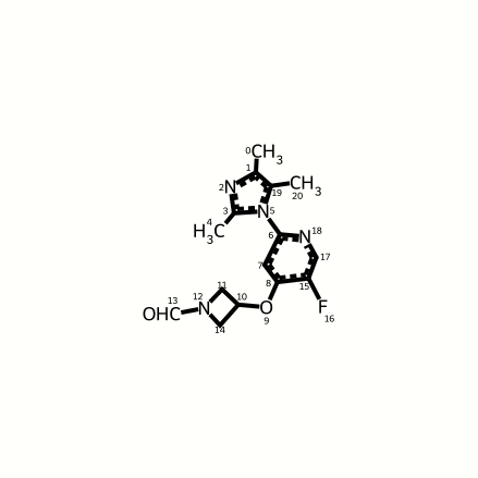 Cc1nc(C)n(-c2cc(OC3CN(C=O)C3)c(F)cn2)c1C